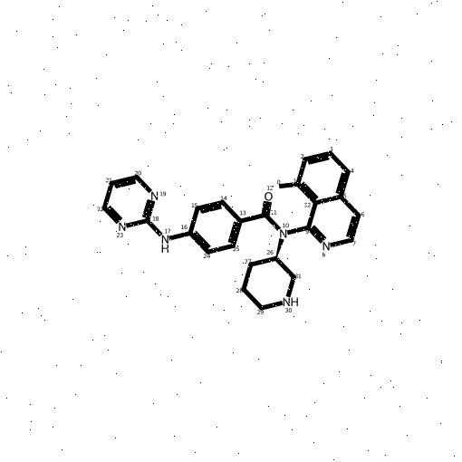 Cc1cccc2ccnc(N(C(=O)c3ccc(Nc4ncccn4)cc3)[C@@H]3CCCNC3)c12